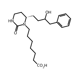 O=C(O)CCCCCCN1C(=O)NCC[C@@H]1CCC(O)Cc1ccccc1